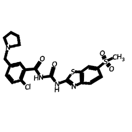 CS(=O)(=O)c1ccc2nc(NC(=O)NC(=O)c3cc(CN4CCCC4)ccc3Cl)sc2c1